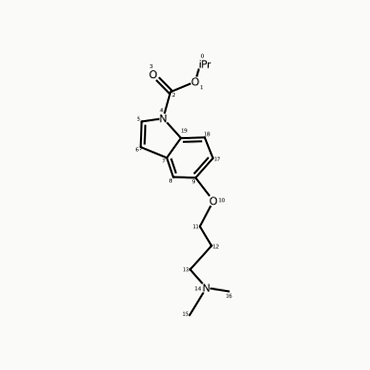 CC(C)OC(=O)n1c[c]c2cc(OCCCN(C)C)ccc21